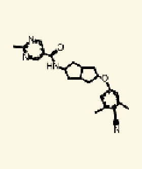 Cc1ncc(C(=O)NC2CC3CC(Oc4cc(C)c(C#N)c(C)c4)CC3C2)cn1